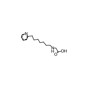 O=C(O)CNCCCCCCCc1ccccn1